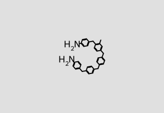 Cc1cc(Cc2ccc(Cc3ccc(Cc4ccc(N)cc4)cc3)cc2)ccc1Cc1ccc(N)cc1